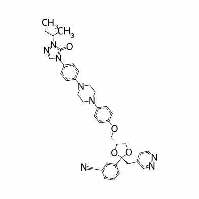 CCC(C)n1ncn(-c2ccc(N3CCN(c4ccc(OC[C@@H]5CO[C@](Cc6ccnnc6)(c6cccc(C#N)c6)O5)cc4)CC3)cc2)c1=O